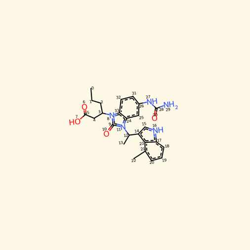 CCCC(CC(=O)O)n1c(=O)n(C(C)c2c[nH]c3cccc(C)c23)c2cc(NC(N)=O)ccc21